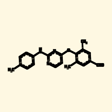 Cc1ccc(Nc2nccc(Oc3c(C)cc(C=O)cc3C)n2)cc1